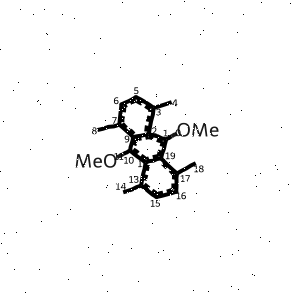 COc1c2c(C)ccc(C)c2c(OC)c2c(C)ccc(C)c12